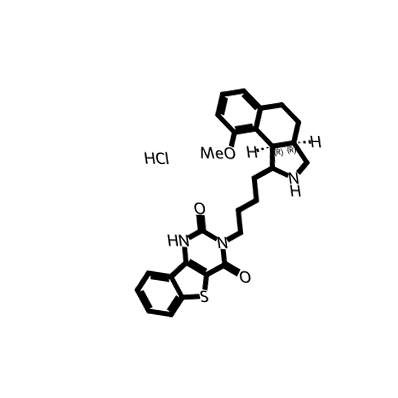 COc1cccc2c1[C@@H]1C(CCCCn3c(=O)[nH]c4c(sc5ccccc54)c3=O)NC[C@@H]1CC2.Cl